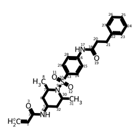 C=CC(=O)NC1CC(C)N(S(=O)(=O)c2ccc(NC(=O)CCc3ccccc3)cc2)C(C)C1